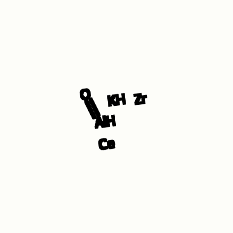 [Ce].[KH].[O]=[AlH].[Zr]